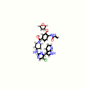 C=CC(=O)Nc1ccc(C(=O)N2CCC(Nc3ncc(Cl)c(-c4c[nH]c5ncccc45)n3)CC2)cc1O[C@H]1CCOC1